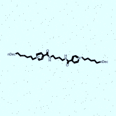 CCCCCCCCCCCCCCCC[n+]1ccc(C(=O)NCCCCNC(=O)c2cc[n+](CCCCCCCCCCCCCCCC)cc2)cc1